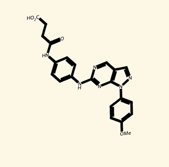 COc1ccc(-n2ncc3cnc(Nc4ccc(NC(=O)CCC(=O)O)cc4)nc32)cc1